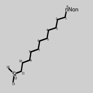 CCCCCCCCCCCCCCCCCCCC[Si](C)C